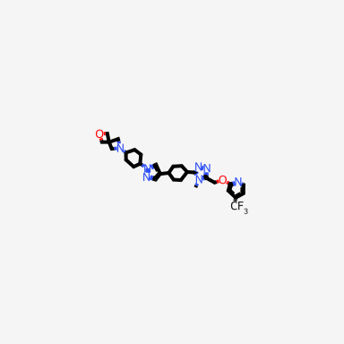 Cn1c(COc2cc(C(F)(F)F)ccn2)nnc1C1CCC(c2cnn(C3CCC(N4CC5(COC5)C4)CC3)c2)CC1